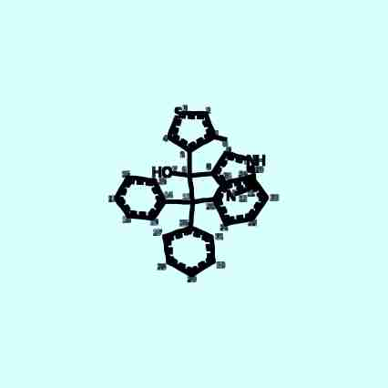 Cc1cscc1C(O)(c1c[nH]cn1)C(c1ccccc1)(c1ccccc1)c1ccccc1